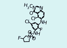 Cn1cnc2ccc(Nc3cc(Cl)cc(NS(=O)(=O)N4CCC(F)C4)c3F)c(Cl)c2c1=O